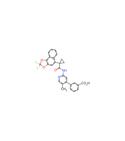 Cc1cnc(NC(=O)C2(c3cc4c(c5ccccc35)OC(F)(F)O4)CC2)cc1-c1cccc(C(=O)O)c1